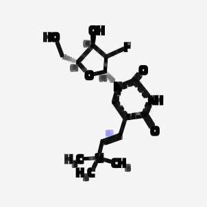 C[Si](C)(C)/C=C/c1cn([C@@H]2O[C@H](CO)[C@@H](O)C2F)c(=O)[nH]c1=O